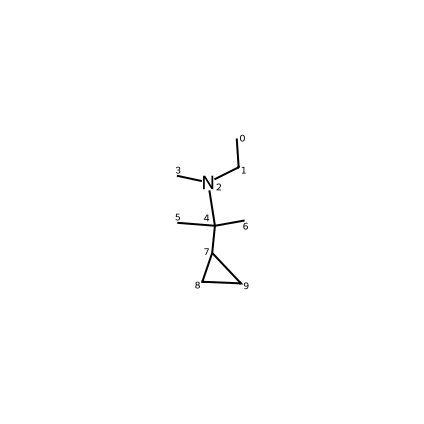 CCN(C)C(C)(C)C1CC1